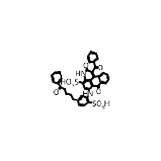 O=C(CCCCc1ccc(S(=O)(=O)O)c(Nc2cc(S(=O)(=O)O)c3[nH]c(=O)c(C(=O)c4ccccc4)c4c3c2C(=O)c2ccccc2-4)c1)c1ccccc1